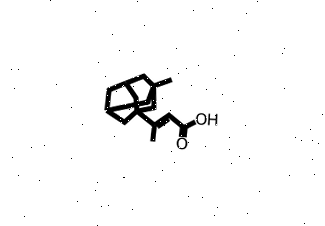 CC(=CC(=O)O)C12CC3CC(CC(C)(C3)C1)C2